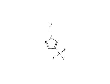 N#Cn1ncc(C(F)(F)F)n1